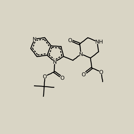 COC(=O)C1CNCC(=O)N1Cc1cc2cnccc2n1C(=O)OC(C)(C)C